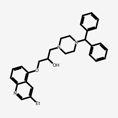 CCc1cnc2cccc(OCC(O)CN3CCN(C(c4ccccc4)c4ccccc4)CC3)c2c1